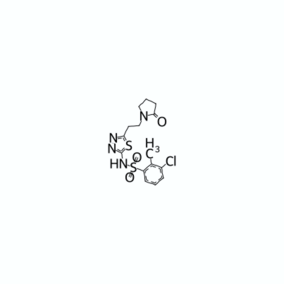 Cc1c(Cl)cccc1S(=O)(=O)Nc1nnc(CCN2CCCC2=O)s1